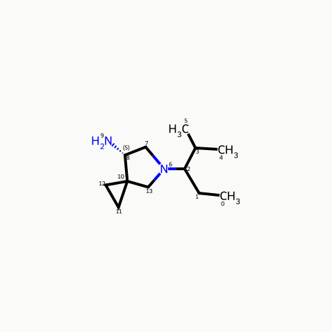 CCC(C(C)C)N1C[C@@H](N)C2(CC2)C1